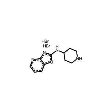 Br.Br.c1cnc2nc(NC3CCNCC3)oc2c1